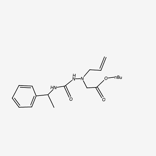 C=CCN(CC(=O)OCCCC)NC(=O)NC(C)c1ccccc1